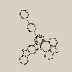 c1ccc(-c2ccc(-c3cccc(-c4cccc5oc6cccc(-n7c8ccccc8c8cc9sc%10ccccc%10c9cc87)c6c45)c3)cc2)cc1